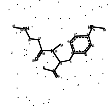 C=C(C)C(Cc1ccc(BC)cc1)N(C)C(=O)CCNC